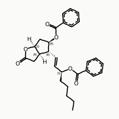 CCCCC[C@@H](C=C[C@@H]1[C@H]2CC(=O)O[C@H]2C[C@H]1OC(=O)c1ccccc1)OC(=O)c1ccccc1